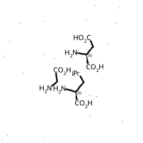 CC(C)C[C@H](N)C(=O)O.NCC(=O)O.N[C@@H](CC(=O)O)C(=O)O